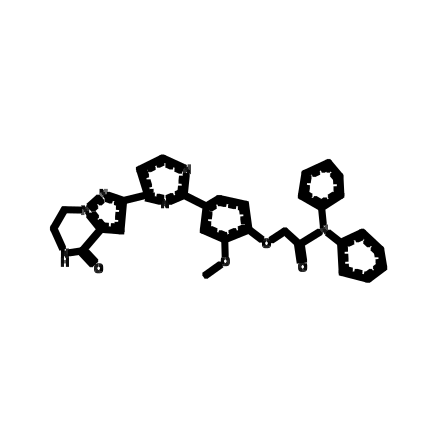 COc1cc(-c2nccc(-c3cc4n(n3)CCNC4=O)n2)ccc1OCC(=O)N(c1ccccc1)c1ccccc1